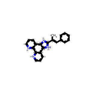 C/C(=C\c1ccccc1)c1nc2c3cccnc3c3ncccc3c2[nH]1